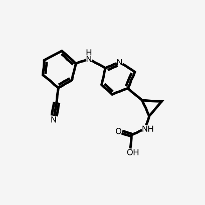 N#Cc1cccc(Nc2ccc(C3CC3NC(=O)O)cn2)c1